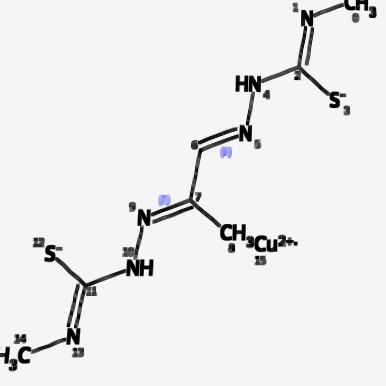 CN=C([S-])N/N=C/C(C)=N/NC([S-])=NC.[Cu+2]